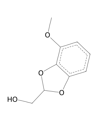 COc1cccc2c1OC(CO)O2